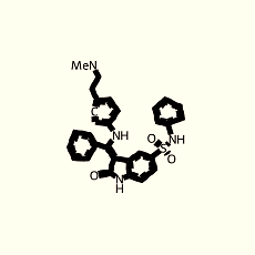 CNCCc1ccc(NC(=C2C(=O)Nc3ccc(S(=O)(=O)Nc4ccccc4)cc32)c2ccccc2)cc1